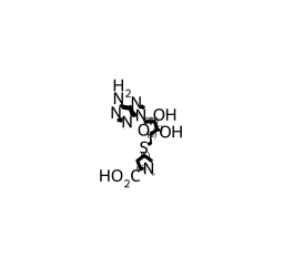 CN1C[C@@H](SC[C@H]2O[C@@H](n3cnc4c(N)ncnc43)[C@H](O)[C@@H]2O)C[C@H]1C(=O)O